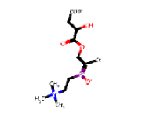 CC/C(COC(=O)C(O)CC(=O)[O-])=[P+](\[O-])CC[N+](C)(C)C